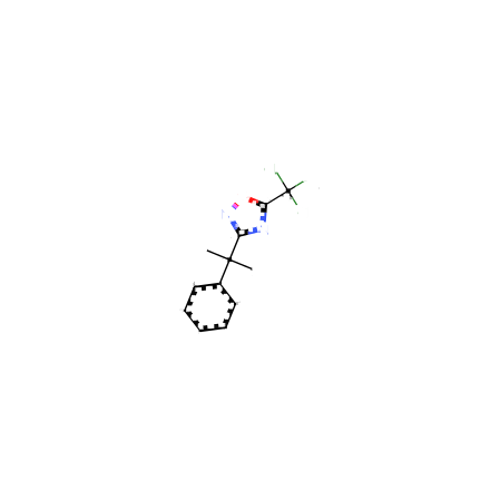 CC(C)(c1ccccc1)c1noc(C(Cl)(Cl)Cl)n1